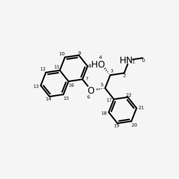 CNC[C@@H](O)[C@@H](Oc1cccc2ccccc12)c1ccccc1